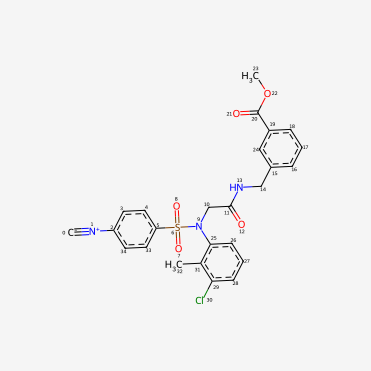 [C-]#[N+]c1ccc(S(=O)(=O)N(CC(=O)NCc2cccc(C(=O)OC)c2)c2cccc(Cl)c2C)cc1